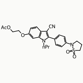 CCCn1c(-c2ccc(N3CCCS3(=O)=O)cc2)c(C#N)c2ccc(OCCOC(C)=O)cc21